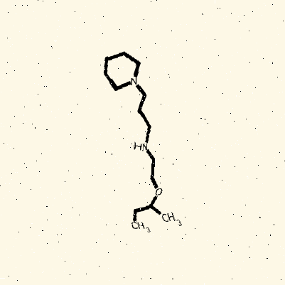 CCC(C)OCCNCCCN1CCCCC1